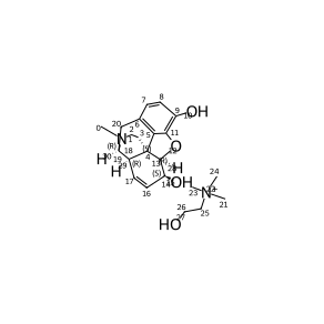 CN1CC[C@]23c4c5ccc(O)c4O[C@H]2[C@@H](O)C=C[C@H]3[C@H]1C5.C[N+](C)(C)CCO